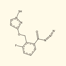 [N-]=[N+]=NC(=O)c1cccc(F)c1COc1ccn(S)n1